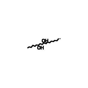 [CH2]CCCCCCCC(O)CCC(O)CCCCCC